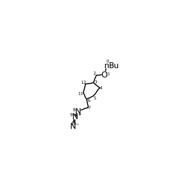 CCCCOCC1CCC(CN=[N+]=[N-])CC1